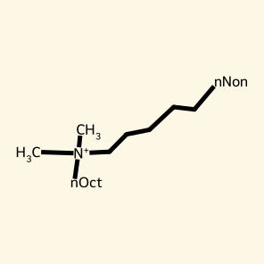 CCCCCCCCCCCCCC[N+](C)(C)CCCCCCCC